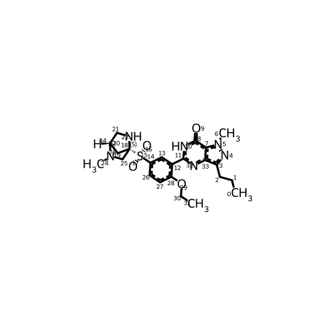 CCCc1nn(C)c2c(=O)[nH]c(-c3cc(S(=O)(=O)[C@]45C[C@@H](CN4)N(C)C5)ccc3OCC)nc12